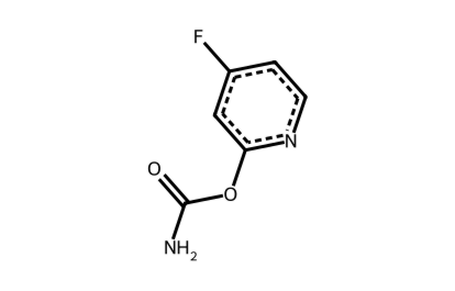 NC(=O)Oc1cc(F)ccn1